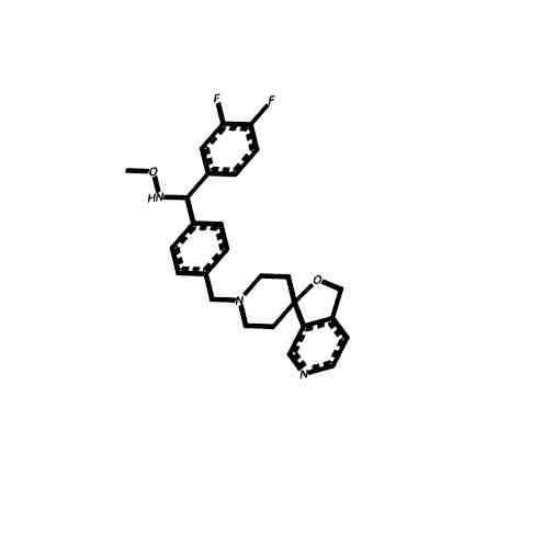 CONC(c1ccc(CN2CCC3(CC2)OCc2ccncc23)cc1)c1ccc(F)c(F)c1